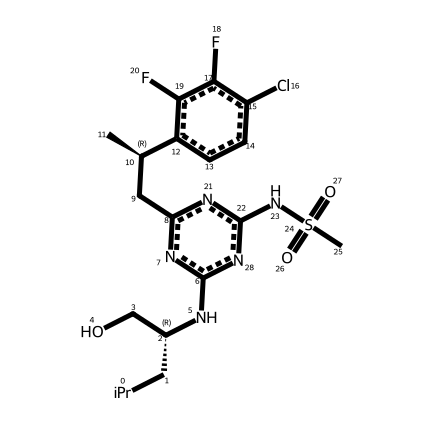 CC(C)C[C@H](CO)Nc1nc(C[C@@H](C)c2ccc(Cl)c(F)c2F)nc(NS(C)(=O)=O)n1